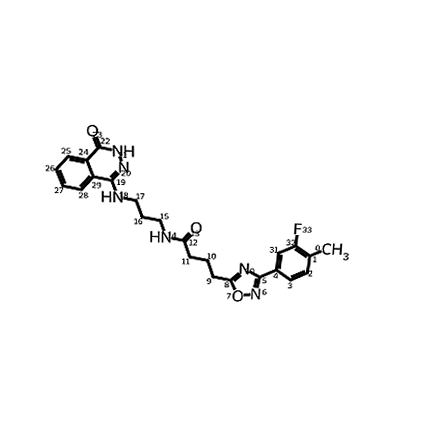 Cc1ccc(-c2noc(CCCC(=O)NCCCNc3n[nH]c(=O)c4ccccc34)n2)cc1F